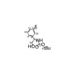 CC(C)(C)OC(=O)N[C@@H](CO)c1cccc(F)c1